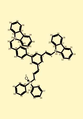 O=P(C/C=C/c1cc(C=Cn2c3ccccc3c3ccccc32)cc(-c2ccc(/C=C\n3c4ccccc4c4ccccc43)cc2)c1)(c1ccccc1)c1ccccc1